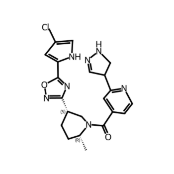 C[C@@H]1CC[C@H](c2noc(-c3cc(Cl)c[nH]3)n2)CN1C(=O)c1ccnc(C2C=NNC2)c1